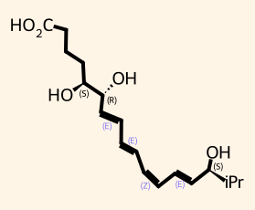 CC(C)[C@H](O)/C=C/C=C\C=C\C=C\[C@@H](O)[C@@H](O)CCCC(=O)O